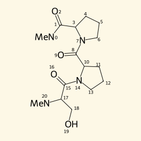 CNC(=O)C1CCCN1C(=O)C1CCCN1C(=O)C(CO)NC